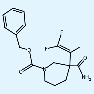 CC(=C(F)F)C1(C(N)=O)CCCN(C(=O)OCc2ccccc2)C1